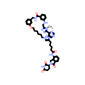 Cn1c(CNc2cccc(C(=O)NCc3cccc(OCCCCCCn4cc(CCCCC(=O)Nc5cccc6c5CN(C5CCC(=O)NC5=O)C6=O)nn4)c3)c2)nnc1-c1ccncn1